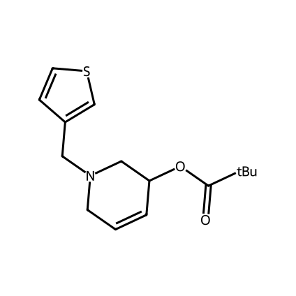 CC(C)(C)C(=O)OC1C=CCN(Cc2ccsc2)C1